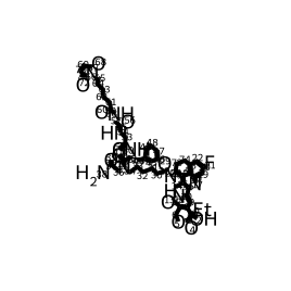 CC[C@@]1(O)C(=O)OCc2c1cc1n(c2=O)Cc2c-1nc1cc(F)cc3c1c2[C@@H](NC(=O)CCCCCN(CC(N)=O)C(=O)[C@H](Cc1ccccc1)NC(=O)CNC(=O)CNC(=O)CCCCCN1C(=O)C=CC1=O)CC3